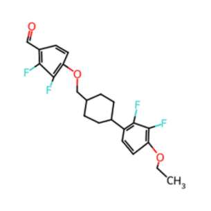 CCOc1ccc(C2CCC(COc3ccc(C=O)c(F)c3F)CC2)c(F)c1F